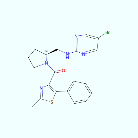 Cc1nc(C(=O)N2CCC[C@H]2CNc2ncc(Br)cn2)c(-c2ccccc2)s1